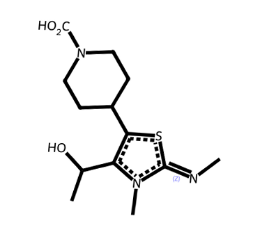 C/N=c1\sc(C2CCN(C(=O)O)CC2)c(C(C)O)n1C